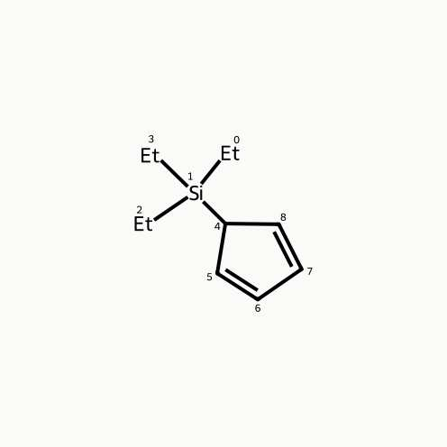 CC[Si](CC)(CC)C1C=CC=C1